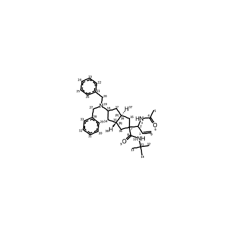 C=CC(NC(C)=O)C1(C(=O)NC(C)(C)C)C[C@@H]2CC(N(Cc3ccccc3)Cc3ccccc3)C[C@H]2C1